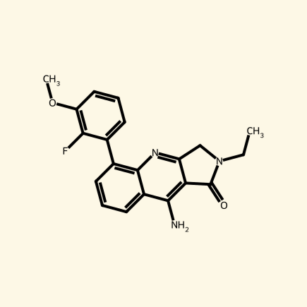 CCN1Cc2nc3c(-c4cccc(OC)c4F)cccc3c(N)c2C1=O